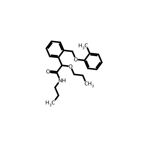 CCCNC(=O)C(OCCC)c1ccccc1COc1ccccc1C